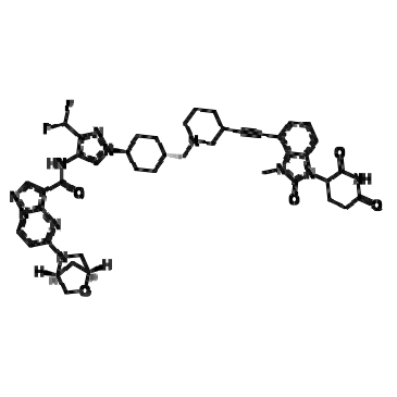 Cn1c(=O)n(C2CCC(=O)NC2=O)c2cccc(C#CC3CCCN(C[C@H]4CC[C@H](n5cc(NC(=O)c6cnn7ccc(N8C[C@H]9C[C@@H]8CO9)nc67)c(C(F)F)n5)CC4)C3)c21